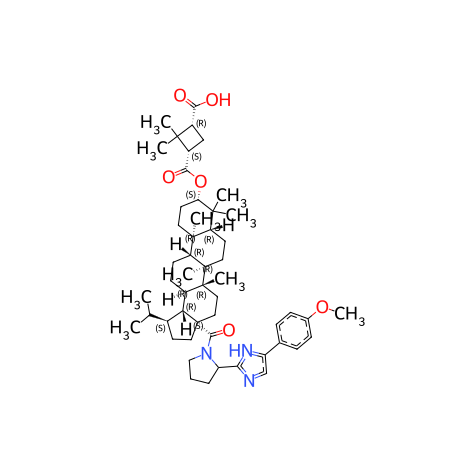 COc1ccc(-c2cnc(C3CCCN3C(=O)[C@]34CC[C@@H](C(C)C)[C@@H]3[C@H]3CC[C@@H]5[C@@]6(C)CC[C@H](OC(=O)[C@H]7C[C@@H](C(=O)O)C7(C)C)C(C)(C)[C@@H]6CC[C@@]5(C)[C@]3(C)CC4)[nH]2)cc1